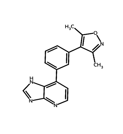 Cc1noc(C)c1-c1cccc(-c2ccnc3nc[nH]c23)c1